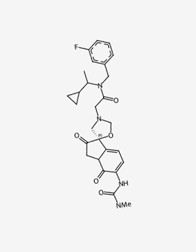 CNC(=O)NC1=CC=C2C(CC(=O)[C@]23CN(CC(=O)N(Cc2cccc(F)c2)C(C)C2CC2)CO3)C1=O